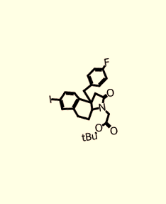 CC(C)(C)OC(=O)CN1C(=O)CC2(Cc3ccc(F)cc3)c3ccc(I)cc3CCC12